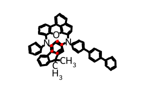 CC1(C)c2ccccc2-c2ccc(N(c3ccc(-c4ccc(-c5ccccc5)cc4)cc3)c3ccc4cccc5c4c3Oc3c-5cccc3N(c3ccccc3)c3ccccc3)cc21